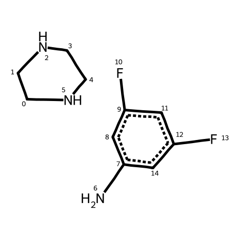 C1CNCCN1.Nc1cc(F)cc(F)c1